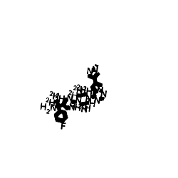 [2H]C([2H])([2H])C(N)(c1ccc(F)cc1)c1cnc(N2C([2H])([2H])C([2H])([2H])N(c3ncnn4cc(-c5cnn(C)c5)cc34)C([2H])([2H])C2([2H])[2H])nc1